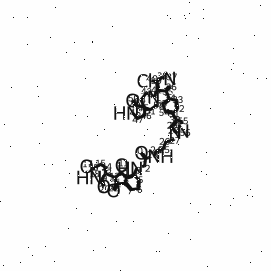 O=C(CNc1cccc2c1C(=O)C(C1CCC(=O)NC1=O)C2=O)NCCCCn1cc(-c2ccc(-c3cncc(Cl)c3N3CCC4(CCNC4=O)CC3)cc2)cn1